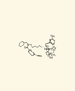 C[C@]12C[C@H](F)[C@@H]3c4ccc(O)cc4C[C@@H](CCCCCCN(CC4CCCCC4)C(=O)c4ccc(C#N)cc4)[C@H]3[C@@H]1CC[C@@H]2O